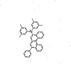 Cc1cc(C)cc(N(c2cc(C)cc(C)c2)c2cc3cc(-c4ccccc4)c4ccccc4c3c3ccccc23)c1